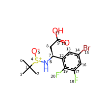 CC(C)(C)[S+]([O-])N[C@@H](CC(=O)O)c1cc(Br)cc(F)c1F